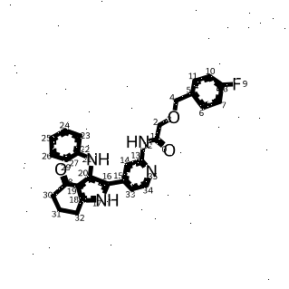 O=C(COCc1ccc(F)cc1)Nc1cc(-c2[nH]c3c(c2Nc2ccccc2)C(=O)CCC3)ccn1